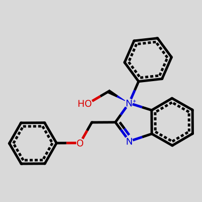 OC[N@+]1(c2ccccc2)C(COc2ccccc2)=Nc2ccccc21